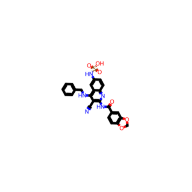 N#Cc1c(NC(=O)c2ccc3c(c2)OCO3)nc2ccc(NS(=O)(=O)O)cc2c1NCc1ccccc1